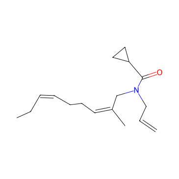 C=CCN(C/C(C)=C\CC/C=C\CC)C(=O)C1CC1